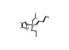 CC=CC=[CH][Ru]([CH2]CC)([CH2]CC)[c]1ccc[nH]1